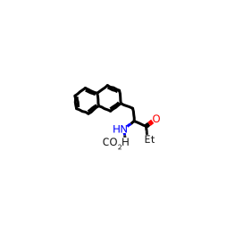 CCC(=O)C(Cc1ccc2ccccc2c1)NC(=O)O